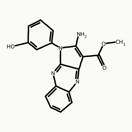 COC(=O)c1c(N)n(-c2cccc(O)c2)c2nc3ccccc3nc12